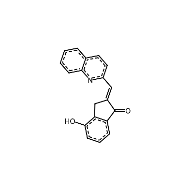 O=C1C(=Cc2ccc3ccccc3n2)Cc2c(O)cccc21